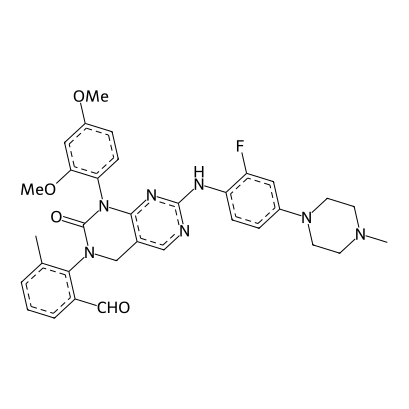 COc1ccc(N2C(=O)N(c3c(C)cccc3C=O)Cc3cnc(Nc4ccc(N5CCN(C)CC5)cc4F)nc32)c(OC)c1